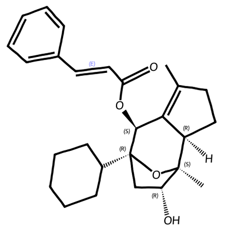 CC1=C2[C@@H](CC1)[C@]1(C)O[C@@](C3CCCCC3)(C[C@H]1O)[C@H]2OC(=O)/C=C/c1ccccc1